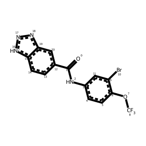 O=C(Nc1ccc(OC(F)(F)F)c(Br)c1)c1ccc2[nH]nnc2c1